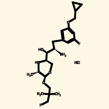 C[C@@H]1N[C@@H]([C@@H](O)[C@@H](N)Cc2cc(F)cc(OCC3CC3)c2)CO[C@H]1OCC(C)(C)CF.Cl